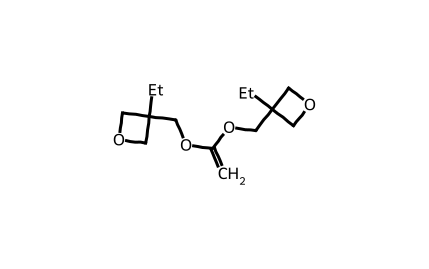 C=C(OCC1(CC)COC1)OCC1(CC)COC1